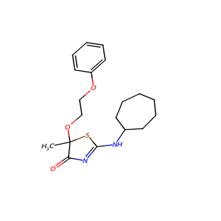 CC1(OCCOc2ccccc2)SC(NC2CCCCCC2)=NC1=O